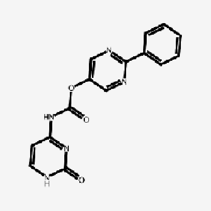 O=C(Nc1cc[nH]c(=O)n1)Oc1cnc(-c2ccccc2)nc1